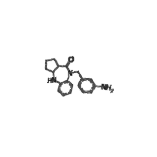 Nc1cccc(CN2C(=O)C3CCCC3Nc3ccccc32)c1